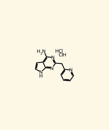 Cl.Cl.Nc1nc(Cc2ccccn2)nc2[nH]ccc12